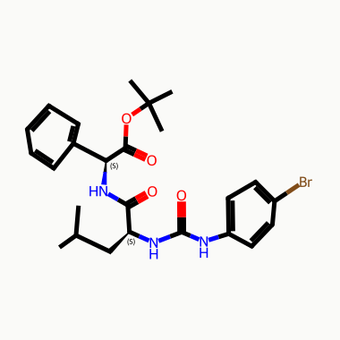 CC(C)C[C@H](NC(=O)Nc1ccc(Br)cc1)C(=O)N[C@H](C(=O)OC(C)(C)C)c1ccccc1